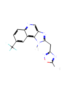 Cc1nc(Cc2nc3cnc4ccc(C(F)(F)F)cc4c3n2C)no1